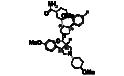 COC[C@H]1CN(C(=O)[C@]2(F)CN([C@H]3CC[C@H](OC)CC3)C[C@H]2c2ccc(OC)cc2)C[C@@H]1c1ccc(F)cc1N1CCC(C(N)=O)CC1